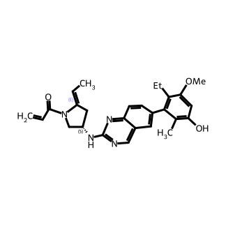 C=CC(=O)N1C[C@@H](Nc2ncc3cc(-c4c(C)c(O)cc(OC)c4CC)ccc3n2)C/C1=C\C